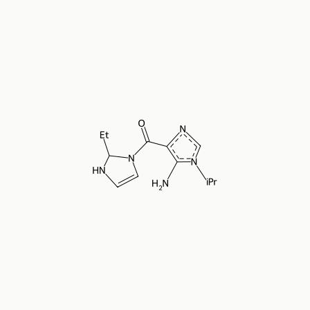 CCC1NC=CN1C(=O)c1ncn(C(C)C)c1N